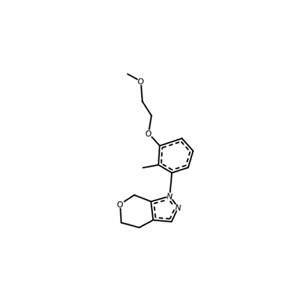 COCCOc1cccc(-n2ncc3c2COCC3)c1C